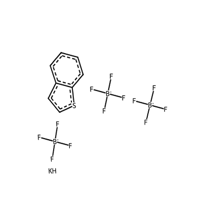 F[B-](F)(F)F.F[B-](F)(F)F.F[B-](F)(F)F.[KH].c1ccc2sccc2c1